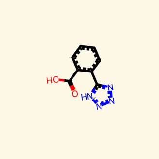 O=C(O)c1[c]cccc1-c1nnn[nH]1